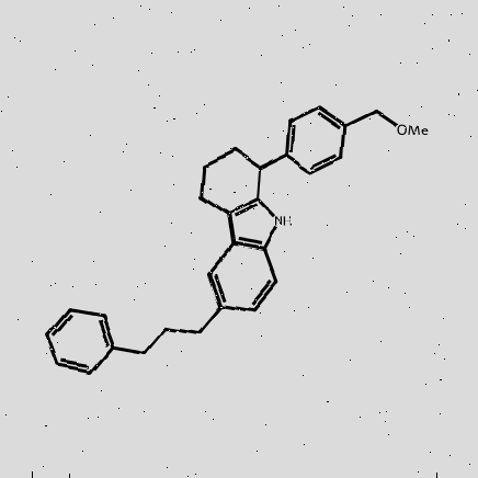 COCc1ccc(C2CCCc3c2[nH]c2ccc(CCCc4ccccc4)cc32)cc1